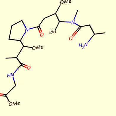 CCC(C)C(C(CC(=O)N1CCCC1C(OC)C(C)C(=O)NCC(=O)OC)OC)N(C)C(=O)CC(C)N